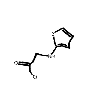 O=C(Cl)CNc1cccs1